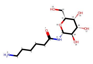 NCCCCCC(=O)N[C@@H]1O[C@H](CO)[C@H](O)[C@H](O)[C@H]1O